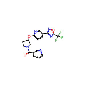 O=C(c1cccnc1)N1CC[C@H](Oc2ccc(-c3noc(C(F)(F)F)n3)cn2)C1